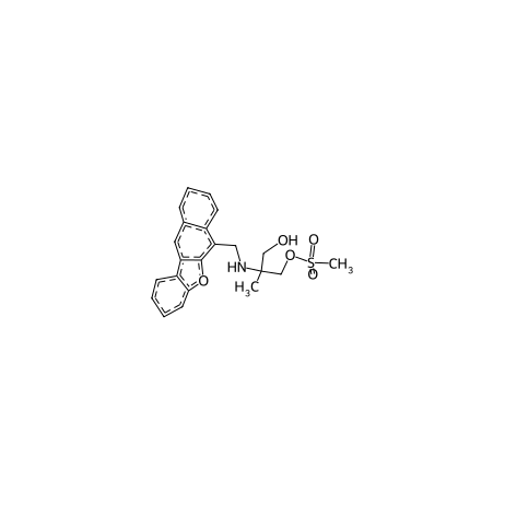 CC(CO)(COS(C)(=O)=O)NCc1c2ccccc2cc2c1oc1ccccc12